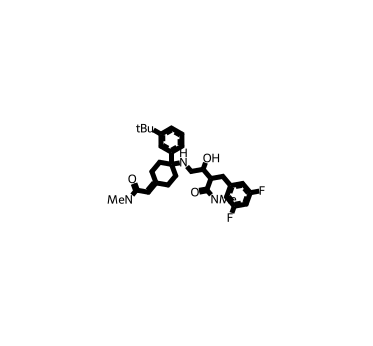 CNC(=O)C=C1CCC(NCC(O)C(Cc2cc(F)cc(F)c2)C(=O)NC)(c2cccc(C(C)(C)C)c2)CC1